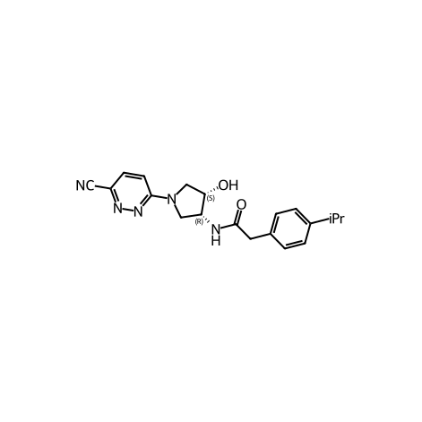 CC(C)c1ccc(CC(=O)N[C@@H]2CN(c3ccc(C#N)nn3)C[C@@H]2O)cc1